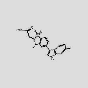 CC1c2cc(-c3c[nH]c4cc(F)ccc34)ccc2S(=O)(=O)N1CC(=O)O